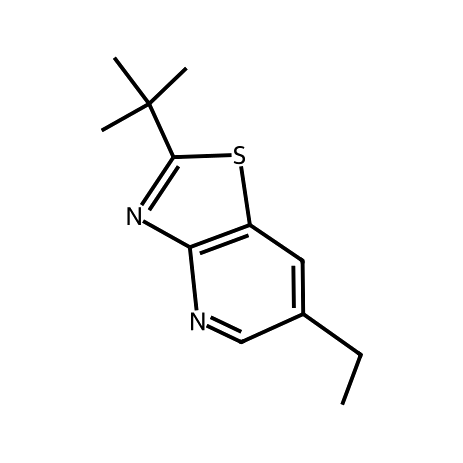 CCc1cnc2nc(C(C)(C)C)sc2c1